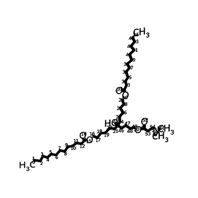 CCCCCCCCCCCCCC(=O)OCCCCCCC(O)(CCCCCCOC(=O)CCCCCCCCCCCCC)CCCCOC(=O)CCN(C)C